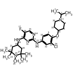 CC(C)N1CCC(Oc2ccc(Nc3ncc(F)c(NC4CC(C)(C)N(C)C(C)(C)C4)n3)cc2Cl)CC1